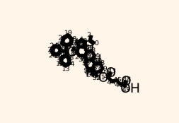 C=C(C)[C@@H]1CC[C@]2(COC(c3ccccc3)(c3ccccc3)c3ccccc3)CC[C@]3(C)[C@H](CC[C@@H]4[C@@]5(C)CC[C@H](OC(=O)CCCC(=O)O)C(C)(C)[C@@H]5CC[C@]43C)[C@@H]12